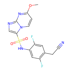 COc1ccn2c(S(=O)(=O)Nc3cc(F)c(CC#N)cc3F)cnc2n1